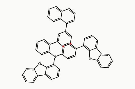 c1cc(-c2ccccc2N(c2ccc(-c3cccc4c3sc3ccccc34)cc2)c2cccc3c2oc2ccccc23)cc(-c2cccc3ccccc23)c1